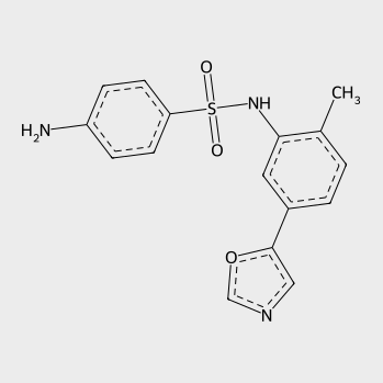 Cc1ccc(-c2cnco2)cc1NS(=O)(=O)c1ccc(N)cc1